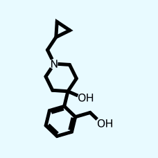 OCc1ccccc1C1(O)CCN(CC2CC2)CC1